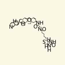 C[C@]12CC=C3C=C4C=C[C@@H](NC(=O)/C=N/C(=O)CCCC[C@@H]5SC[C@@H]6NC(=O)N[C@@H]65)C[C@]45CC[C@]3(O5)[C@@H]1CC[C@@H]2c1ccc2ccncc2c1